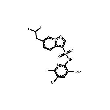 COc1cc(Br)c(F)nc1NS(=O)(=O)c1cnn2cc(CC(F)F)ccc12